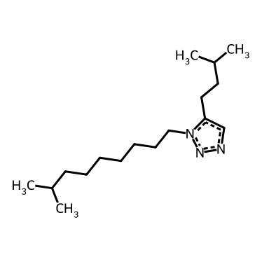 CC(C)CCCCCCCn1nncc1CCC(C)C